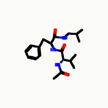 CC(=O)N[C@H](C(=O)NC(Cc1ccccc1)C(=O)NCC(C)C)C(C)C